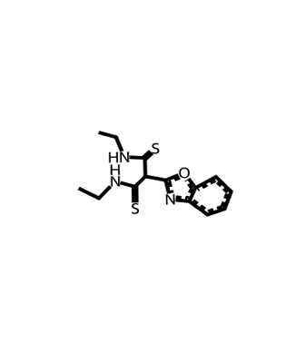 CCNC(=S)C(C(=S)NCC)c1nc2ccccc2o1